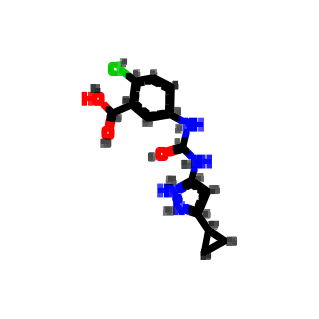 O=C(Nc1ccc(Cl)c(C(=O)O)c1)Nc1cc(C2CC2)n[nH]1